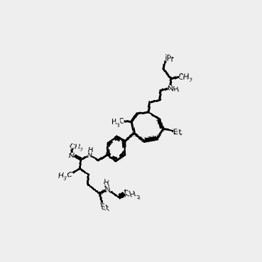 C=CNC(CC)CCC(C)/C(=N/C)NCc1ccc(C2/C=C\C(CC)=C/C(CCCNC(C)CC(C)C)CC2C)cc1